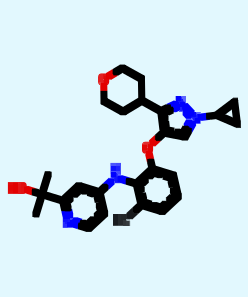 CC(C)(O)c1cc(Nc2c(C#N)cccc2Oc2cn(C3CC3)nc2C2CCOCC2)ccn1